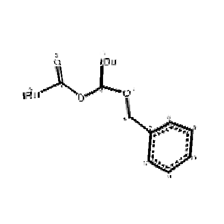 CCC(C)C(=O)OC(OCc1ccccc1)C(C)(C)C